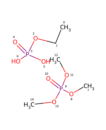 CCOP(=O)(O)O.COP(=O)(OC)OC